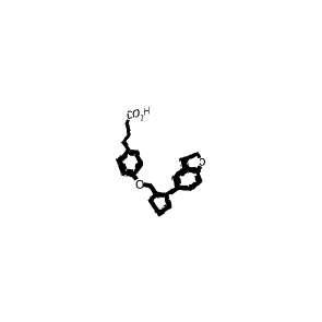 O=C(O)CCCc1ccc(OCC2=C(c3ccc4c(c3)CCO4)CCC2)cc1